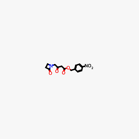 O=C(CC(=O)OCc1ccc([N+](=O)[O-])cc1)CN1CCC1=O